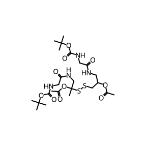 CC(=O)OC(CNC(=O)CNC(=O)OC(C)(C)C)CSSC(C)(CNC(=O)CNC(=O)OC(C)(C)C)OC(C)=O